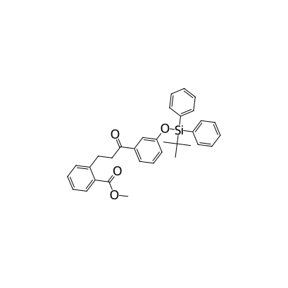 COC(=O)c1ccccc1CCC(=O)c1cccc(O[Si](c2ccccc2)(c2ccccc2)C(C)(C)C)c1